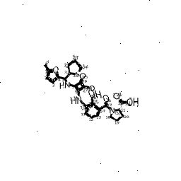 Cc1ccc(C(Nc2c(Nc3cccc(C(=O)N4CCC[C@H]4C(=O)O)c3O)c(=O)c2=O)C2CCCS2)o1